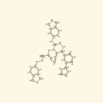 O=C=C1C(CC(=O)NCCc2ccc3c(c2)OCO3)N(Cc2ccc3c(c2)OCO3)CCN1c1cc(-n2ccnc2)ncn1